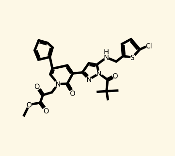 COC(=O)C(=O)Cn1cc(-c2ccccc2)cc(-c2cc(NCc3ccc(Cl)s3)n(C(=O)C(C)(C)C)n2)c1=O